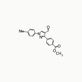 COC(=O)c1ccc(-c2nn(-c3ccc(C#N)cc3)cc2C=O)cc1